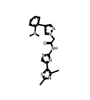 Cc1nc(C)c(-c2csc(NC(=O)Cn3cc(-c4ccccc4N(C)C)cn3)n2)s1